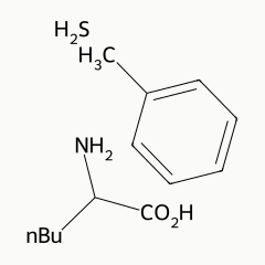 CCCCC(N)C(=O)O.Cc1ccccc1.S